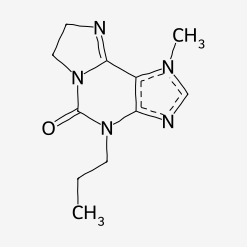 CCCN1C(=O)N2CCN=C2c2c1ncn2C